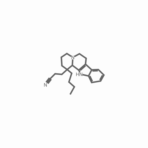 CCCCC1(CCC#N)CCCN2CCc3c([nH]c4ccccc34)C21